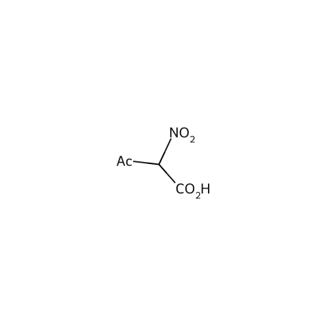 CC(=O)C(C(=O)O)[N+](=O)[O-]